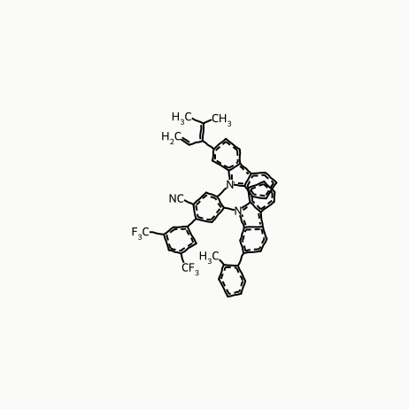 C=CC(=C(C)C)c1ccc2c3ccccc3n(-c3cc(C#N)c(-c4cc(C(F)(F)F)cc(C(F)(F)F)c4)cc3-n3c4ccccc4c4ccc(-c5ccccc5C)cc43)c2c1